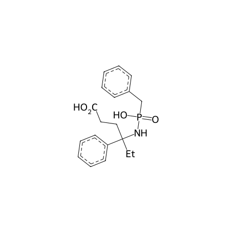 CCC(CCC(=O)O)(NP(=O)(O)Cc1ccccc1)c1ccccc1